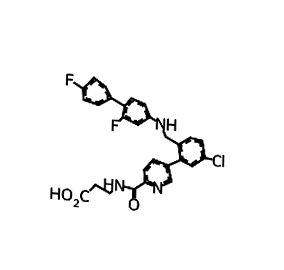 O=C(O)CCNC(=O)c1ccc(-c2cc(Cl)ccc2CNc2ccc(-c3ccc(F)cc3)c(F)c2)cn1